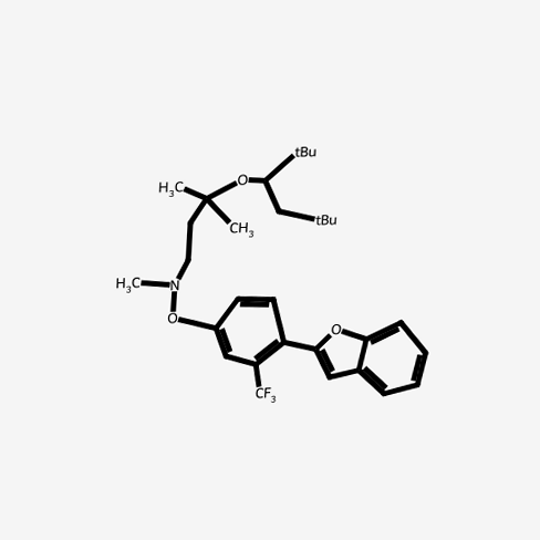 CN(CCC(C)(C)OC(CC(C)(C)C)C(C)(C)C)Oc1ccc(-c2cc3ccccc3o2)c(C(F)(F)F)c1